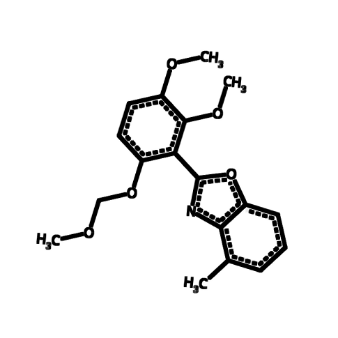 COCOc1ccc(OC)c(OC)c1-c1nc2c(C)cccc2o1